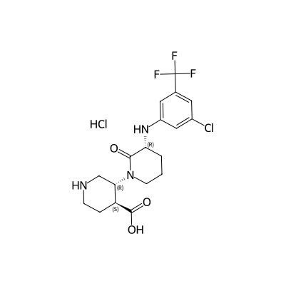 Cl.O=C(O)[C@H]1CCNC[C@@H]1N1CCC[C@@H](Nc2cc(Cl)cc(C(F)(F)F)c2)C1=O